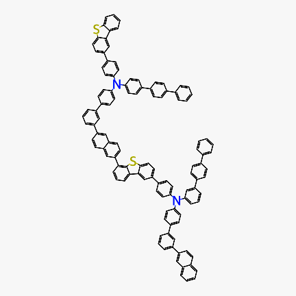 c1ccc(-c2ccc(-c3ccc(N(c4ccc(-c5cccc(-c6ccc7cc(-c8cccc9c8sc8ccc(-c%10ccc(N(c%11ccc(-c%12cccc(-c%13ccc%14ccccc%14c%13)c%12)cc%11)c%11cccc(-c%12ccc(-c%13ccccc%13)cc%12)c%11)cc%10)cc89)ccc7c6)c5)cc4)c4ccc(-c5ccc6sc7ccccc7c6c5)cc4)cc3)cc2)cc1